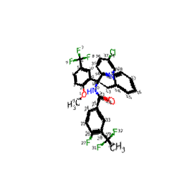 COc1ccc(C(F)(F)F)cc1[C@@](Cc1ccccc1)(NC(=O)c1ccc(F)c(C(C)(F)F)c1)c1ccc(Cl)cn1